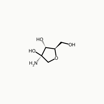 N[C@@]1(O)CO[C@H](CO)[C@H]1O